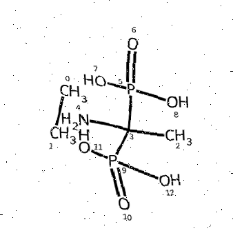 CC.CC(N)(P(=O)(O)O)P(=O)(O)O